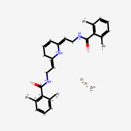 CC(C)c1cccc(C(C)C)c1C(=O)NCC=C1C=CCC(=CCNC(=O)c2c(C(C)C)cccc2C(C)C)N1.[Br-].[Br-].[Zr+2]